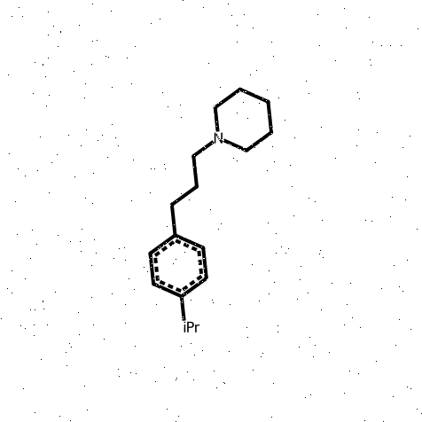 CC(C)c1ccc(CCCN2CCCCC2)cc1